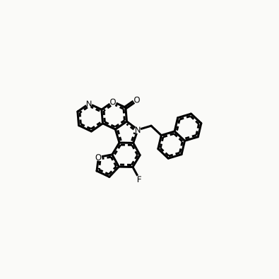 O=c1oc2ncccc2c2c3c4occc4c(F)cc3n(Cc3cccc4ccccc34)c12